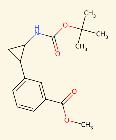 COC(=O)c1cccc(C2CC2NC(=O)OC(C)(C)C)c1